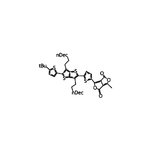 CCCCCCCCCCCCc1c(-c2ccc(C3=C4C(=O)OC(C)=C4C(=O)O3)s2)sc2c(CCCCCCCCCCCC)c(-c3ccc(C(C)(C)C)s3)sc12